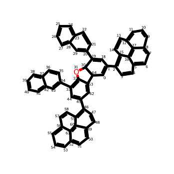 C1=C(c2ccc3ccc4cccc5ccc2c3c45)C=C(c2ccc3ccccc3c2)C2Oc3c(-c4ccc5ccccc5c4)cc(-c4ccc5ccc6cccc7ccc4c5c67)cc3C12